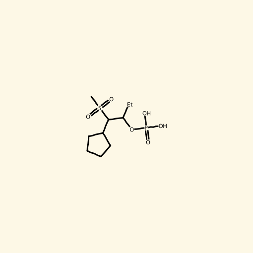 CCC(OP(=O)(O)O)C(C1CCCC1)S(C)(=O)=O